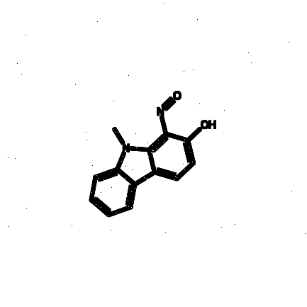 Cn1c2ccccc2c2ccc(O)c(N=O)c21